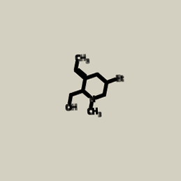 C/C=C1\CC(CC)CN(C)C1CO